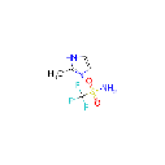 Cc1ncc[nH]1.NS(=O)(=O)C(F)(F)F